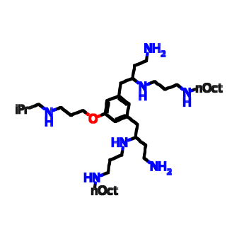 CCCCCCCCNCCCNC(CCN)Cc1cc(CC(CCN)NCCCNCCCCCCCC)cc(OCCCNCC(C)C)c1